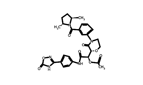 CC(=O)O[C@@H](C(=O)Nc1ccc(-c2noc(=O)[nH]2)cc1)[C@H]1OCCN(c2cccc(C(=O)N3[C@H](C)CC[C@H]3C)c2)C1=O